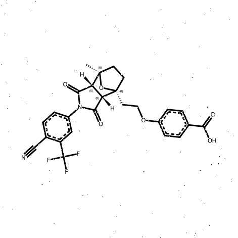 C[C@]12CC[C@](CCOc3ccc(C(=O)O)cc3)(O1)[C@@H]1C(=O)N(c3ccc(C#N)c(C(F)(F)F)c3)C(=O)[C@@H]12